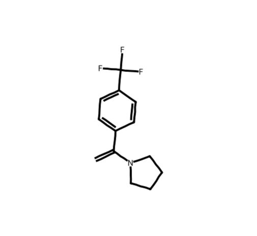 C=C(c1ccc(C(F)(F)F)cc1)N1CCCC1